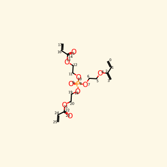 C=CC(=C)OCCOP(=O)(OCCOC(=O)C=C)OCCOC(=O)C=C